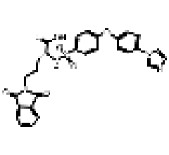 O=C(O)[C@@H](CCCN1C(=O)c2ccccc2C1=O)NS(=O)(=O)c1ccc(Oc2ccc(-n3ccnc3)cc2)cc1